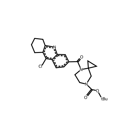 CC(C)(C)OC(=O)N1CCN(C(=O)c2ccc3c(Cl)c4c(nc3c2)CCCC4)C2(CC2)C1